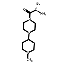 CC[C@@H](C)[C@@H](N)C(=O)N1CCN(C2CCN(C)CC2)CC1